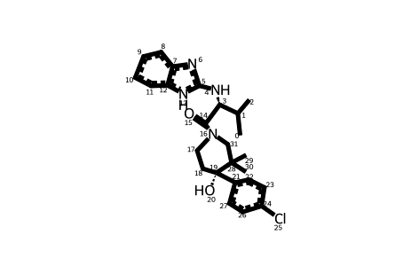 CC(C)[C@@H](Nc1nc2ccccc2[nH]1)C(=O)N1CC[C@](O)(c2ccc(Cl)cc2)C(C)(C)C1